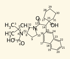 CC(C)(C)N(C(=O)O)[C@H]1CCN(C(=O)C(c2ccc3ccccc3c2)C2(O)CCCCC2)C1